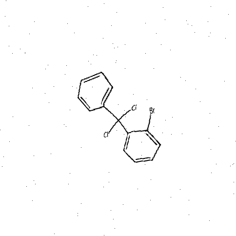 ClC(Cl)(c1ccccc1)c1ccccc1Br